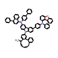 C=C1/C=C\C=C/Cc2ccccc2-c2cc(-n3c4ccc(-c5ccc(N(c6ccccc6)c6cccc7oc8ccccc8c67)cc5)cc4c4cc(N(c5ccc(-c6ccccc6)cc5)c5ccc(-c6ccccc6)c6ccccc56)ccc43)ccc21